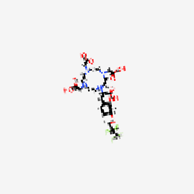 O=C(O)CN1CCN(CC(=O)O)CCN(C(Cc2ccc(OCC(F)(F)C(F)F)cc2)C(=O)O)CCN(CC(=O)O)CC1